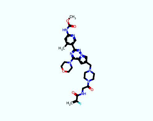 C=C(F)C(=O)NCC(=O)N1CCN(Cc2cc3c(N4CCOCC4)nc(-c4cnc(NC(=O)OC)cc4C)nn3c2)CC1